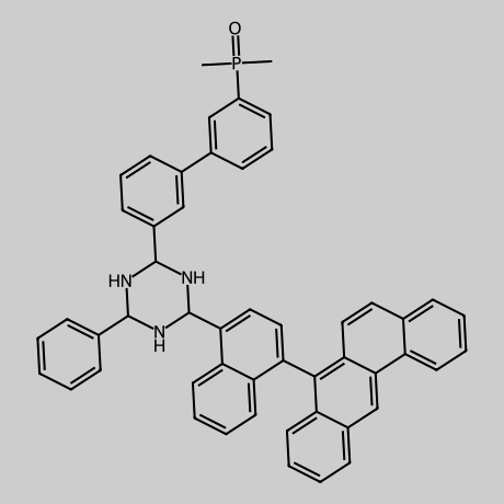 CP(C)(=O)c1cccc(-c2cccc(C3NC(c4ccccc4)NC(c4ccc(-c5c6ccccc6cc6c5ccc5ccccc56)c5ccccc45)N3)c2)c1